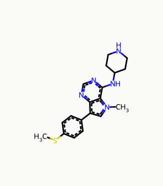 CSc1ccc(-c2cn(C)c3c(NC4CCNCC4)ncnc23)cc1